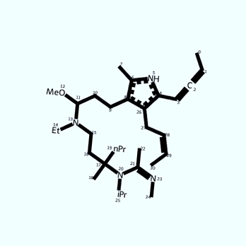 CC=C=Cc1[nH]c(C)c(CCC(OC)N(CC)CCC(C)(CCC)N(/C(C)=N\C)C(C)C)c1C/C=C\C